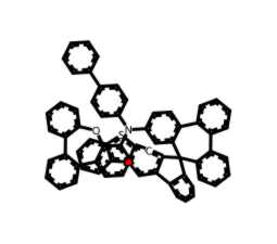 c1ccc(-c2ccc(N(c3ccc4c(c3)C3(c5ccccc5-c5ccccc5-4)c4ccccc4-c4cc5c(cc43)sc3ccccc35)c3cccc4c3Oc3ccccc3-c3ccccc3-4)cc2)cc1